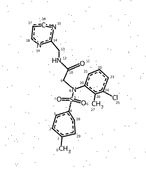 Cc1ccc(S(=O)(=O)N(CC(=O)NCc2ncccn2)c2cccc(Cl)c2C)cc1